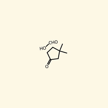 CC1(C)CCC(=O)C1.O=CO